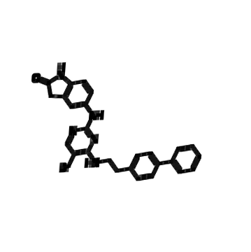 O=C1Cc2cc(Nc3ncc(Br)c(NCCc4ccc(-c5ccccc5)cc4)n3)ccc2N1